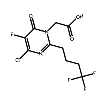 O=C(O)Cn1c(CCCC(F)(F)F)nc(Cl)c(F)c1=O